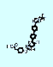 O=C(O)C[C@H]1CC[C@H](Oc2nc3nc(-c4ccc(-c5ccc(-c6ncn(CC(F)(F)F)n6)cc5)cc4)c(Cl)cc3[nH]2)CC1